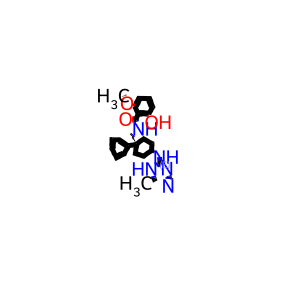 CCN/C(=N\C#N)N[C@H]1CC[C@@](CNC(=O)c2c(O)cccc2OC)(c2ccccc2)CC1